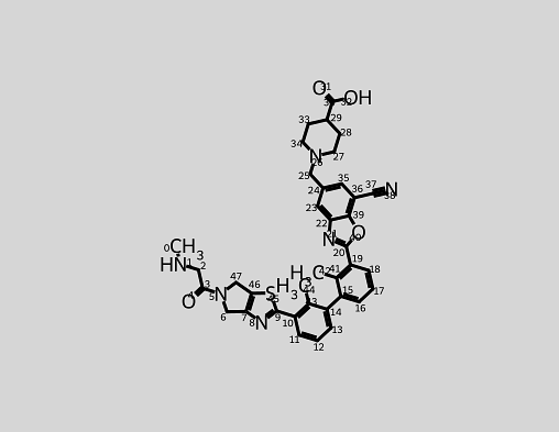 CNCC(=O)N1Cc2nc(-c3cccc(-c4cccc(-c5nc6cc(CN7CCC(C(=O)O)CC7)cc(C#N)c6o5)c4C)c3C)sc2C1